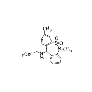 CCCCCCCCCCCNC1c2ccccc2N(C)S(=O)(=O)c2cc(C)ccc21